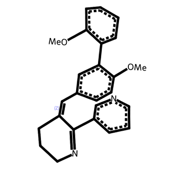 COc1ccccc1-c1cc(/C=C2/CCCN=C2c2cccnc2)ccc1OC